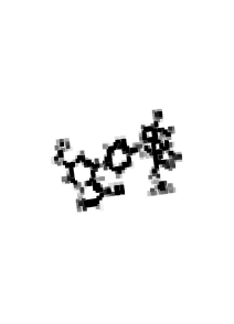 CCOc1cc(-c2ccc(N3C[C@H]4C[C@@H](C3)[C@H]4NC(=O)OC(C)(C)C)nc2)c2c(C#N)cnn2c1